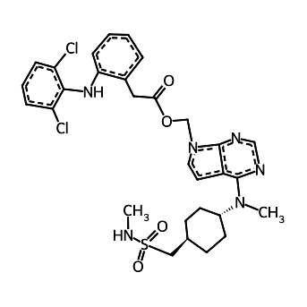 CNS(=O)(=O)C[C@H]1CC[C@H](N(C)c2ncnc3c2ccn3COC(=O)Cc2ccccc2Nc2c(Cl)cccc2Cl)CC1